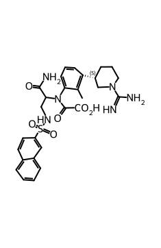 Cc1c([C@@H]2CCCN(C(=N)N)C2)cccc1N(C(=O)C(=O)O)C(CNS(=O)(=O)c1ccc2ccccc2c1)C(N)=O